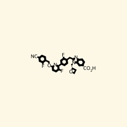 N#Cc1ccc(COc2ccc(F)c(-c3ccc(Cc4nc5ccc(C(=O)O)cc5n4C[C@@H]4CCO4)c(F)c3)n2)c(F)c1